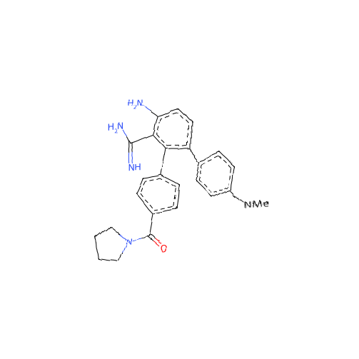 CNc1ccc(-c2ccc(N)c(C(=N)N)c2-c2ccc(C(=O)N3CCCC3)cc2)cc1